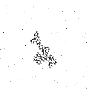 c1ccc(-c2nc3cc(-c4ccc5c(c4)C4(c6ccccc6-c6ccccc64)c4ccccc4-5)c(-c4ccc5c(c4)C4(c6ccccc6-c6ccccc64)c4ccccc4-5)cc3nc2-c2ccc(-c3ccc(-c4nc5ccccc5n4-c4ccccc4)cc3)cc2)cc1